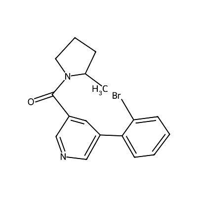 CC1CCCN1C(=O)c1cncc(-c2ccccc2Br)c1